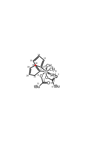 CC(C)(C)C(=O)[O][Ti]([CH3])([CH3])(=[SiH2])([O]C(=O)C(C)(C)C)([C]1=CC=CC1)[C]1=CC=CC1